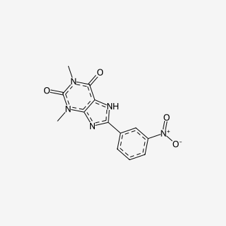 Cn1c(=O)c2[nH]c(-c3cccc([N+](=O)[O-])c3)nc2n(C)c1=O